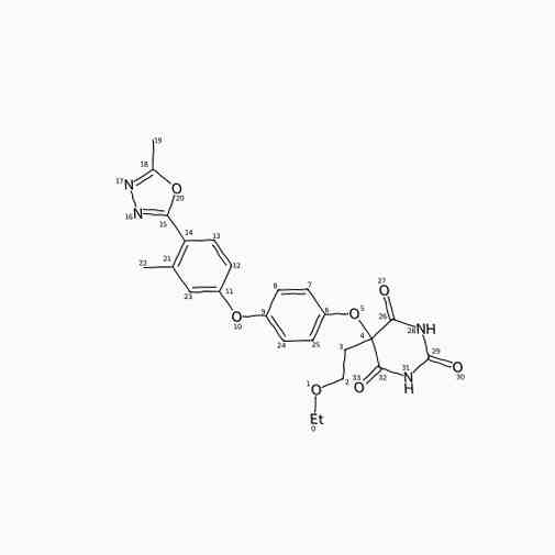 CCOCCC1(Oc2ccc(Oc3ccc(-c4nnc(C)o4)c(C)c3)cc2)C(=O)NC(=O)NC1=O